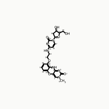 Cn1cc2c(nc1=O)Nc1c(OCCNc3ccn(C4CC(O)C(CO)O4)c(=O)n3)cccc1O2